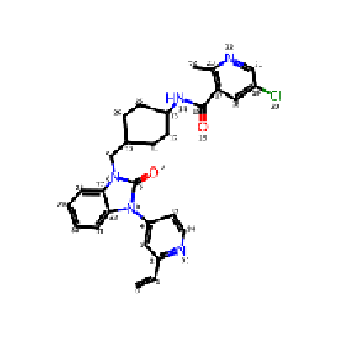 C=Cc1cc(-n2c(=O)n(CC3CCC(NC(=O)c4cc(Cl)cnc4C)CC3)c3ccccc32)ccn1